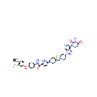 N#Cc1ccc(O[C@H]2CC[C@H](NC(=O)c3ccc(N4CCC(F)(CN5CCC(n6ncc7c(N8CCC(=O)NC8=O)cncc76)CC5)CC4)nn3)CC2)cc1Cl